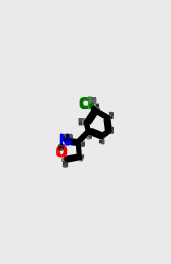 Clc1cccc(-c2c[c]on2)c1